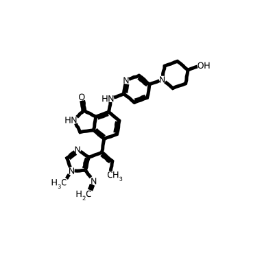 C=Nc1c(/C(=C\C)c2ccc(Nc3ccc(N4CCC(O)CC4)cn3)c3c2CNC3=O)ncn1C